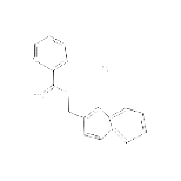 Br.N=C(SCc1ccc2ccccc2c1)c1ccccn1